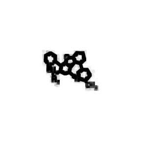 Cc1ccc(-c2cccc3oc4c(-c5cccc[n+]5C)c(C)cc(C#N)c4c23)cc1